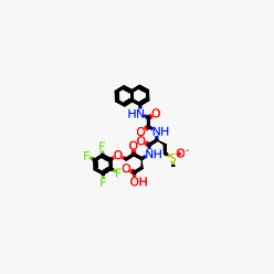 C[S+]([O-])CC[C@H](NC(=O)C(=O)Nc1cccc2ccccc12)C(=O)N[C@@H](CC(=O)O)C(=O)COc1c(F)c(F)cc(F)c1F